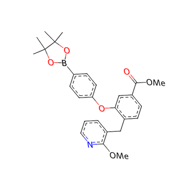 COC(=O)c1ccc(Cc2cccnc2OC)c(Oc2ccc(B3OC(C)(C)C(C)(C)O3)cc2)c1